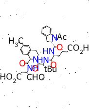 CC(=O)N1c2ccccc2C[C@H]1C(=O)N[C@@H](CCCC(=O)O)C(=O)N[C@H](C(=O)N1CCc2cc(C)ccc2C1C(=O)N[C@H](C=O)CC(=O)O)C(C)(C)C